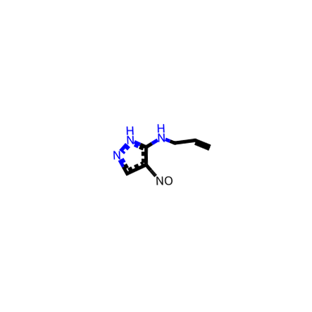 C=CCNc1[nH]ncc1N=O